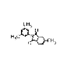 CC1=CCC2C(=O)N(c3cc(C)cc(C)c3)C(=O)C2C1